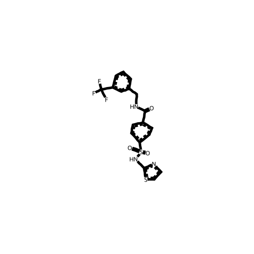 O=C(NCc1cccc(C(F)(F)F)c1)c1ccc(S(=O)(=O)Nc2nccs2)cc1